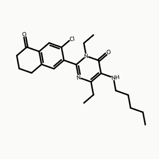 CCCCCNc1c(CC)nc(-c2cc3c(cc2Cl)C(=O)CCC3)n(CC)c1=O